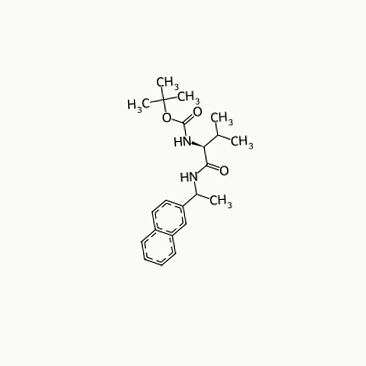 CC(NC(=O)[C@@H](NC(=O)OC(C)(C)C)C(C)C)c1ccc2ccccc2c1